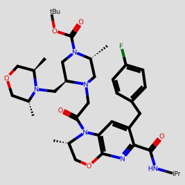 CC(C)NC(=O)c1nc2c(cc1Cc1ccc(F)cc1)N(C(=O)CN1C[C@@H](C)N(C(=O)OC(C)(C)C)C[C@@H]1CN1[C@H](C)COC[C@H]1C)[C@@H](C)CO2